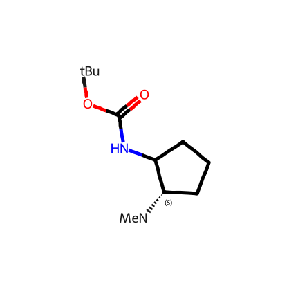 CN[C@H]1CCCC1NC(=O)OC(C)(C)C